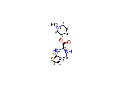 CCN1CCCC(OC(=O)C2NCc3ccsc3N2)C1